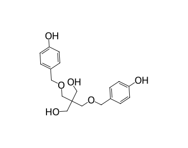 OCC(CO)(COCc1ccc(O)cc1)COCc1ccc(O)cc1